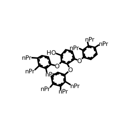 CCCc1ccc(Oc2ccc(O)c(Oc3ccc(CCC)c(CCC)c3CCC)c2Oc2ccc(CCC)c(CCC)c2CCC)c(CCC)c1CCC